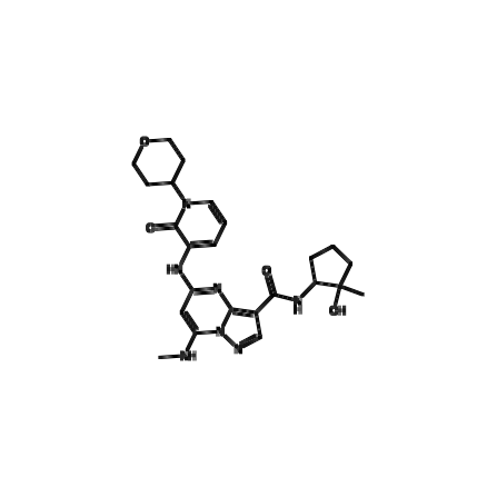 CNc1cc(Nc2cccn(C3CCOCC3)c2=O)nc2c(C(=O)NC3CCCC3(C)O)cnn12